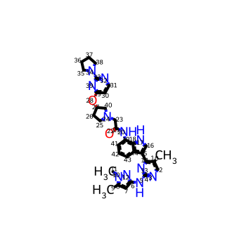 Cc1cnc(Nc2cc(C)n(C)n2)nc1-c1c[nH]c2c(NC(=O)CN3CCC(Oc4ccnc(N5CCCC5)n4)C3)cccc12